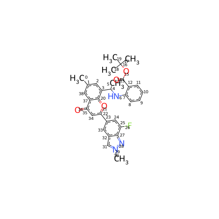 Cc1cc(C(C)Nc2ccccc2C(=O)OC(C)(C)C)c2oc(-c3cc(F)c4nn(C)cc4c3)cc(=O)c2c1